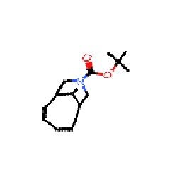 CC1C2CCCCC1CN(C(=O)OC(C)(C)C)C2